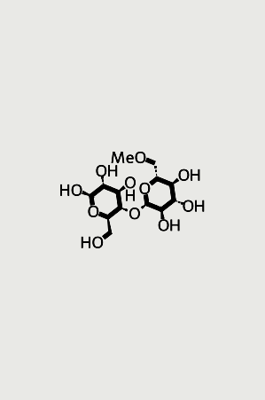 COC[C@H]1O[C@@H](O[C@H]2[C@H](O)[C@@H](O)[C@H](O)O[C@@H]2CO)[C@H](O)[C@@H](O)[C@@H]1O